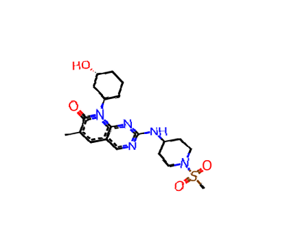 Cc1cc2cnc(NC3CCN(S(C)(=O)=O)CC3)nc2n([C@@H]2CCC[C@@H](O)C2)c1=O